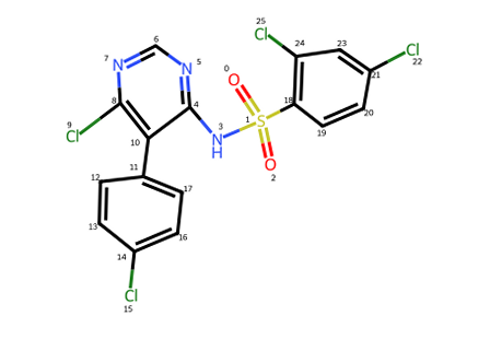 O=S(=O)(Nc1ncnc(Cl)c1-c1ccc(Cl)cc1)c1ccc(Cl)cc1Cl